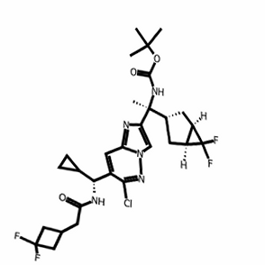 CC(C)(C)OC(=O)N[C@](C)(c1cn2nc(Cl)c([C@H](NC(=O)CC3CC(F)(F)C3)C3CC3)cc2n1)[C@@H]1C[C@@H]2[C@H](C1)C2(F)F